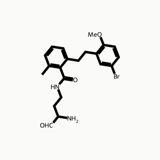 COc1ccc(Br)cc1CCc1cccc(C)c1C(=O)NCCC(N)C=O